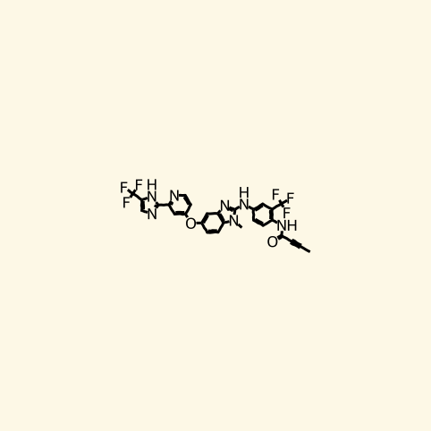 CC#CC(=O)Nc1ccc(Nc2nc3cc(Oc4ccnc(-c5ncc(C(F)(F)F)[nH]5)c4)ccc3n2C)cc1C(F)(F)F